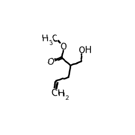 C=CCC(CO)C(=O)OC